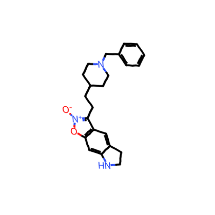 [O-][n+]1oc2cc3c(cc2c1CCC1CCN(Cc2ccccc2)CC1)CCN3